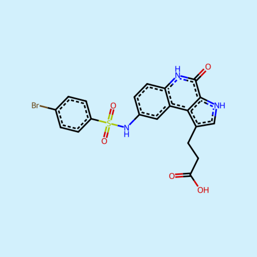 O=C(O)CCc1c[nH]c2c(=O)[nH]c3ccc(NS(=O)(=O)c4ccc(Br)cc4)cc3c12